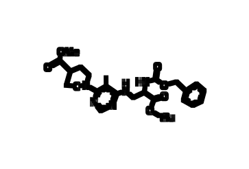 COC(=O)C1CCN(c2ncnc(NCC(NC(=O)OCc3ccccc3)C(=O)OC(C)(C)C)c2C)CC1